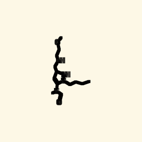 CCCCN1NC(CNCCOC)C=C1N(C)C=O